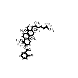 CC(C)=CCC[C@@H](C)[C@H]1CC[C@@]2(C)C3=C(CC[C@]12C)[C@@]1(C)CC[C@H](OC(=O)c2ccccc2O)C(C)(C)C1CC3